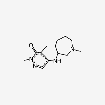 Cc1c(NC2CCCCN(C)C2)cnn(C)c1=O